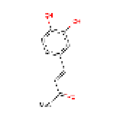 CNC(=O)C=Cc1ccc(O)c(O)c1